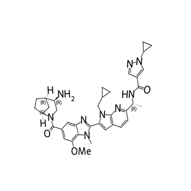 COc1cc(C(=O)N2C[C@H](N)[C@@H]3CC[C@H]2C3)cc2nc(-c3cc4ccc([C@@H](C)NC(=O)c5cnn(C6CC6)c5)nc4n3CC3CC3)n(C)c12